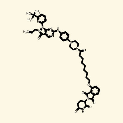 C=CCn1c(=O)c2cnc(Nc3ccc(N4CCN(C(=O)CCCCCCCCOc5cccc6c5C(=O)N(C5CCC(=O)NC5=O)C6=O)CC4)cc3)nc2n1-c1cccc(C(C)(C)O)n1